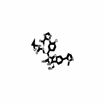 Cn1nccc1C1=CCC([C@@]2(CC(C)(C)C)NC(=N)N([C@H](COC(=O)NC3(C(F)(F)F)CC3)c3ccc(Cl)c(-n4ncnc4C(F)F)c3)C2=O)C=C1